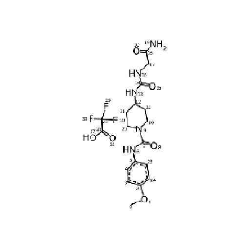 COc1ccc(NC(=O)N2CCC(NC(=O)NCC(N)=O)CC2)cc1.O=C(O)C(F)(F)F